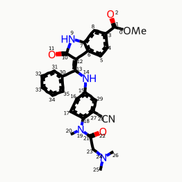 COC(=O)c1ccc2c(c1)NC(=O)C2=C(Nc1ccc(N(C)C(=O)CN(C)C)c(C#N)c1)c1ccccc1